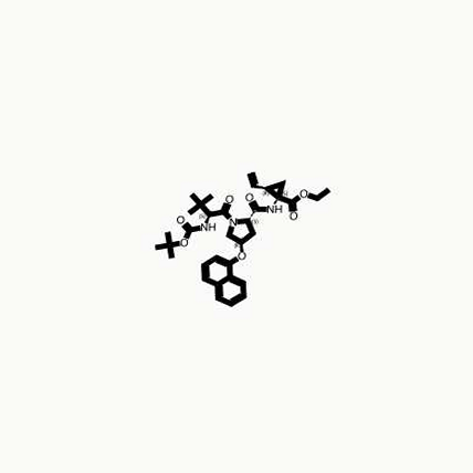 C=C[C@H]1C[C@@]1(NC(=O)[C@@H]1C[C@@H](Oc2cccc3ccccc23)CN1C(=O)[C@@H](NC(=O)OC(C)(C)C)C(C)(C)C)C(=O)OCC